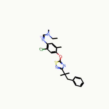 CCN(C)/C=N\c1cc(C)c(Oc2nc(C(C)(C)Cc3ccccc3)ns2)cc1Cl